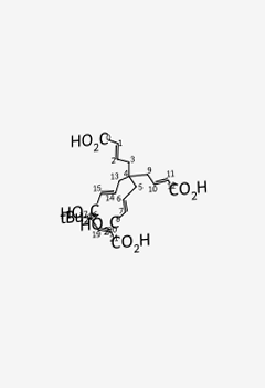 O=C(O)C=CCC(CC=CC(=O)O)(CC=CC(=O)O)CC=CC(=O)O.[CH2]C([CH2])([CH2])CC=CC(=O)O